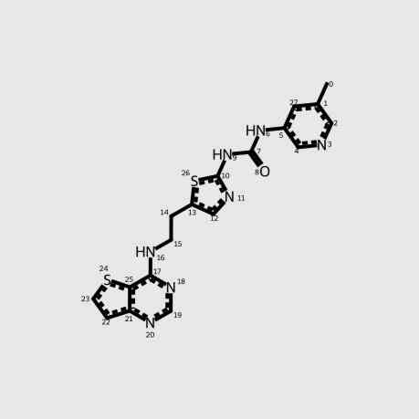 Cc1cncc(NC(=O)Nc2ncc(CCNc3ncnc4ccsc34)s2)c1